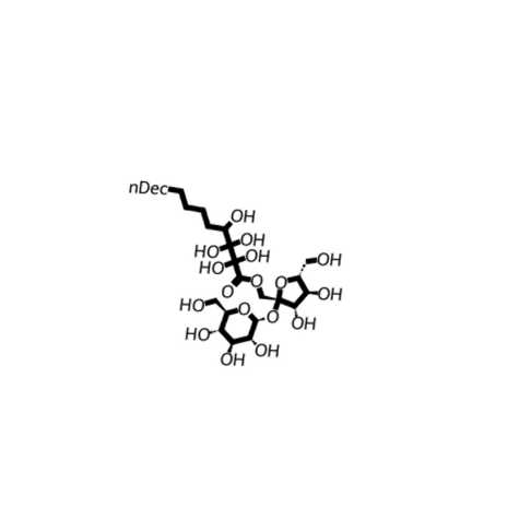 CCCCCCCCCCCCCCC(O)C(O)(O)C(O)(O)C(=O)OC[C@@]1(O[C@H]2O[C@H](CO)[C@@H](O)[C@H](O)[C@H]2O)O[C@H](CO)[C@@H](O)[C@@H]1O